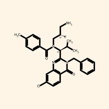 Cc1ccc(C(=O)N(C[C@@H](F)CN)[C@H](c2nc3cc(Cl)ccc3c(=O)n2Cc2ccccc2)C(C)C)cc1